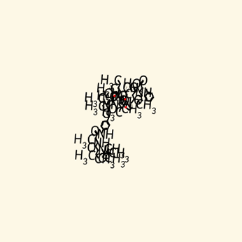 CC[C@H](C)C([C@H](C)CC(=O)N1CCC[C@H]1[C@H](OC)[C@@H](C)C(=O)N[C@@H](Cc1ccccc1)C(=O)O)N(C)C(=O)[C@@H](NC(=O)[C@H](C(C)C)N(C)C(=O)OCc1ccc(NC(=O)[C@H](C)NC(=O)[C@@H](NC(=O)C(C)(C)C)C(C)C)cc1)C(C)C